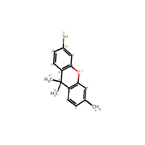 Cc1ccc2c(c1)Oc1cc(S)ccc1C2(C)C